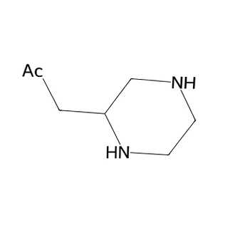 CC(=O)CC1CNCCN1